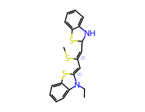 CCN1/C(=C/C(=C/C2Nc3ccccc3S2)SC)Sc2ccccc21